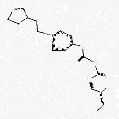 C=C(/N=C\C(Cl)=C/C)NC(=O)Nc1ccc(CCC2CCNC2)cc1